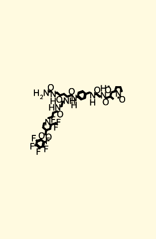 COC(C(C)C(=O)NCC(=O)NCc1ccc(NC(=O)C(CCCNC(N)=O)NC(=O)CNC(=O)CCCN2CCC(C(=O)Oc3c(F)c(F)c(F)c(F)c3F)CC2C(F)(F)F)cc1)C1CCCN1C=O